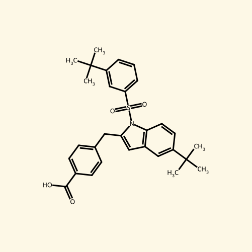 CC(C)(C)c1cccc(S(=O)(=O)n2c(Cc3ccc(C(=O)O)cc3)cc3cc(C(C)(C)C)ccc32)c1